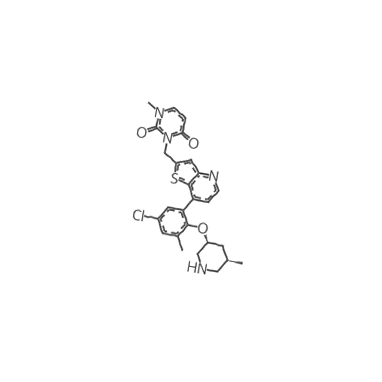 Cc1cc(Cl)cc(-c2ccnc3cc(Cn4c(=O)ccn(C)c4=O)sc23)c1O[C@@H]1CNC[C@H](C)C1